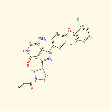 C=CC(=O)N1CCC(c2nn(-c3ccc(Oc4c(F)cccc4F)cc3)c3c(N)n[nH]c(=O)c23)C1